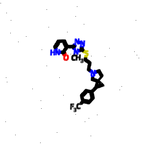 Cn1c(SCCCN2CC[C@]3(CC3c3ccc(C(F)(F)F)cc3)C2)nnc1-c1ccc[nH]c1=O